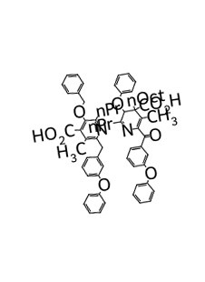 CCCCCCCCC1(C(=O)O)C(C)=C(C(=O)c2cccc(Oc3ccccc3)c2)N=C(CCC)C1Oc1ccccc1.CCCc1nc(Cc2cccc(Oc3ccccc3)c2)c(C)c(C(=O)O)c1OCc1ccccc1